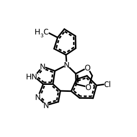 Cc1cccc(N(C2=COCO2)c2n[nH]c3nncc(-c4ccc(Cl)cc4)c23)c1